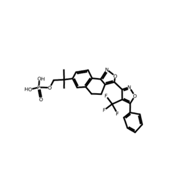 CC(C)(COP(=O)(O)O)c1ccc2c(c1)CCc1c-2noc1-c1noc(-c2ccccc2)c1C(F)(F)F